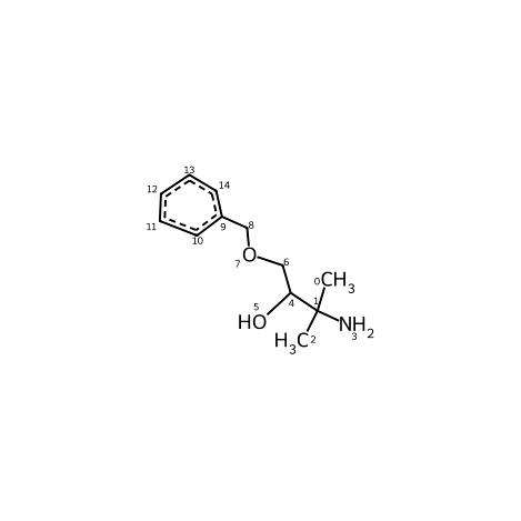 CC(C)(N)C(O)COCc1ccccc1